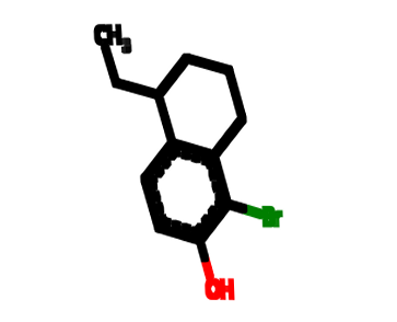 CCC1CCCc2c1ccc(O)c2Br